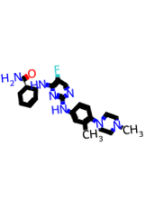 Cc1cc(Nc2ncc(F)c(N[C@@H]3C=CCC[C@@H]3C(N)=O)n2)ccc1N1CCN(C)CC1